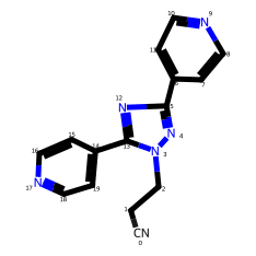 N#CCCn1nc(-c2ccncc2)nc1-c1ccncc1